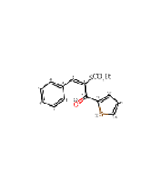 CCOC(=O)C(=Cc1ccccc1)C(=O)c1cccs1